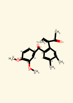 C/C=C(/C(C)=O)c1cc(C)c(C)cc1C(=O)c1ccc(OC)c(OC)c1